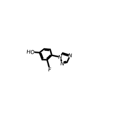 Oc1ccc(-n2cncn2)c(F)c1